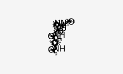 CC(=O)Nc1ccc(C(=O)NCC(=O)N2CCC[C@H]2C(=O)NCC=O)c(F)c1